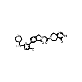 O=C(CN1Cc2ccc(-c3nc(NC4CCOCC4)ncc3Cl)cc2C1=O)N1CCc2nc[nH]c(=O)c2CC1